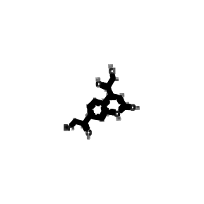 O=C(CBr)c1ccc2c(C(=O)CCl)cc(=O)oc2c1